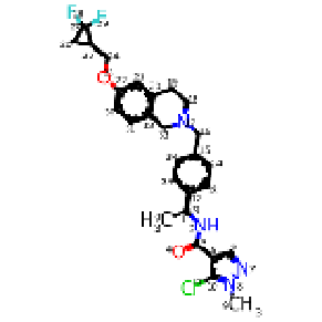 C[C@H](NC(=O)c1cnn(C)c1Cl)c1ccc(CN2CCc3cc(OCC4CC4(F)F)ccc3C2)cc1